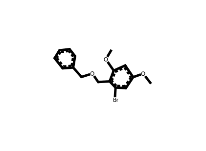 COc1cc(Br)c(COCc2ccccc2)c(OC)c1